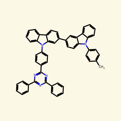 Cc1ccc(-n2c3ccccc3c3cc(-c4ccc5c6ccccc6n(-c6ccc(-c7nc(-c8ccccc8)nc(-c8ccccc8)n7)cc6)c5c4)ccc32)cc1